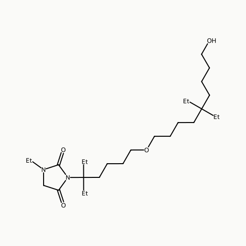 CCN1CC(=O)N(C(CC)(CC)CCCCOCCCCC(CC)(CC)CCCCO)C1=O